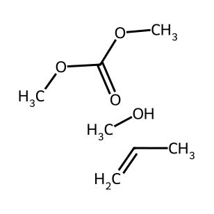 C=CC.CO.COC(=O)OC